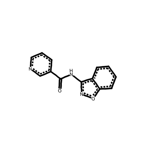 O=C(Nc1noc2ccccc12)c1cccnc1